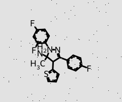 CC1(N)C(c2cccs2)C(c2ccc(F)cc2)=NN1c1ccc(F)cc1F